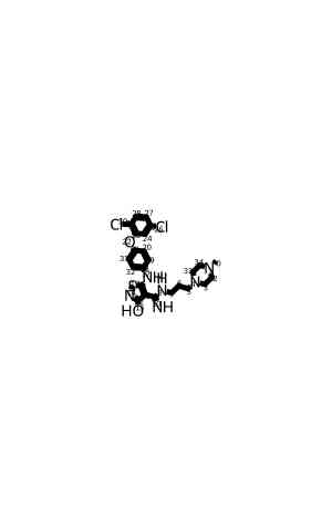 CN1CCN(CCCNC(=N)c2c(O)nsc2Nc2ccc(Oc3cc(Cl)ccc3Cl)cc2)CC1